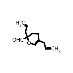 C=CCC1=COC(C=O)(CC=C)CC1